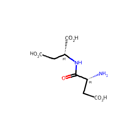 N[C@H](CC(=O)O)C(=O)N[C@H](CC(=O)O)C(=O)O